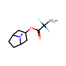 CN1C2CCC1CC(OC(=O)C(F)(F)S(=O)(=O)O)C2